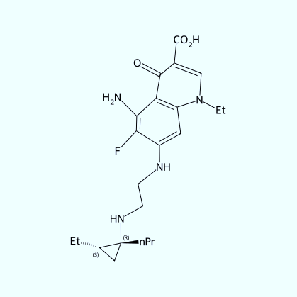 CCC[C@@]1(NCCNc2cc3c(c(N)c2F)c(=O)c(C(=O)O)cn3CC)C[C@@H]1CC